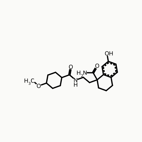 COC1CCC(C(=O)NCCC2(C(N)=O)CCCc3ccc(O)cc32)CC1